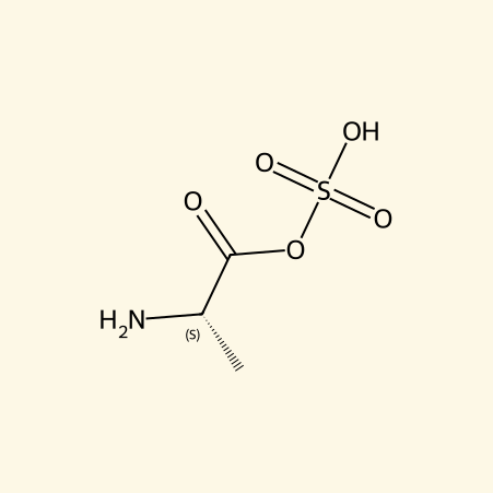 C[C@H](N)C(=O)OS(=O)(=O)O